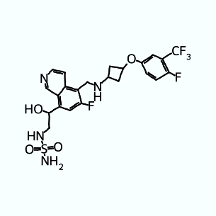 NS(=O)(=O)NCC(O)c1cc(F)c(CNC2CC(Oc3ccc(F)c(C(F)(F)F)c3)C2)c2ccncc12